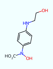 O=C(O)N(O)c1ccc(NCCO)cc1